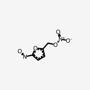 O=Nc1ccc(CO[N+](=O)[O-])o1